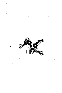 COCCCO[C@@H]1CNC[C@H](OCc2ccc3c(c2)N(CCCOC)CCO3)[C@H]1c1ccc(COCC2CC2)cc1